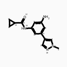 Cn1cc(-c2cc(N)cc(NC(=O)C3CC3)c2)cn1